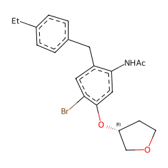 CCc1ccc(Cc2cc(Br)c(O[C@@H]3CCOC3)cc2NC(C)=O)cc1